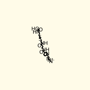 [N-]=[N+]=NCc1ccc(C(=O)NCCC(=O)NCCSSCCNC(=O)O)cn1